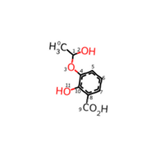 CC(O)Oc1cccc(C(=O)O)c1O